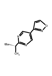 C[C@@H](c1ncc(-c2ccon2)cn1)C(C)(C)C